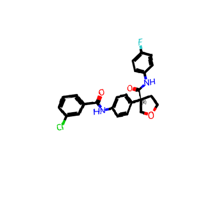 O=C(Nc1ccc([C@]2(C(=O)Nc3ccc(F)cc3)CCOC2)cc1)c1cccc(Cl)c1